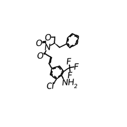 Nc1c(Cl)cc(C=CC(=O)N2C(=O)OC[C@H]2Cc2ccccc2)cc1C(F)(F)F